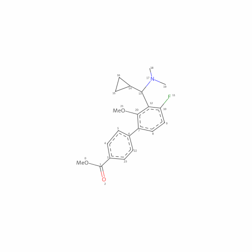 COC(=O)c1ccc(-c2ccc(F)c(C(C3CC3)N(C)C)c2OC)cc1